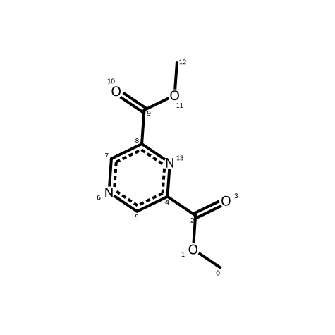 COC(=O)c1cncc(C(=O)OC)n1